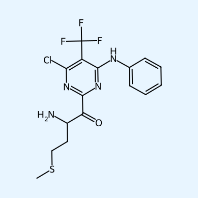 CSCCC(N)C(=O)c1nc(Cl)c(C(F)(F)F)c(Nc2ccccc2)n1